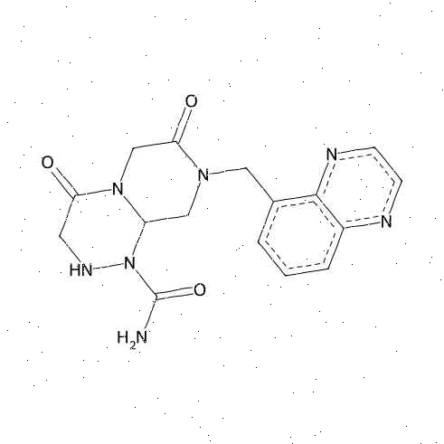 NC(=O)N1NCC(=O)N2CC(=O)N(Cc3cccc4nccnc34)CC21